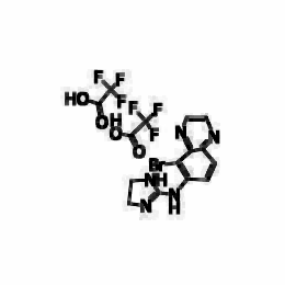 Brc1c(NC2=NCCN2)ccc2nccnc12.O=C(O)C(F)(F)F.O=C(O)C(F)(F)F